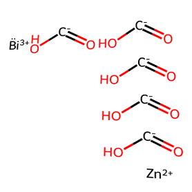 O=[C-]O.O=[C-]O.O=[C-]O.O=[C-]O.O=[C-]O.[Bi+3].[Zn+2]